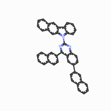 c1ccc2cc(-c3ccc4nc(-n5c6ccccc6c6cc7ccccc7cc65)nc(-c5ccc6ccccc6c5)c4c3)ccc2c1